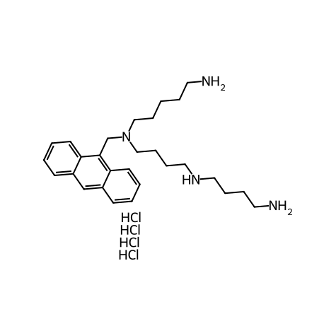 Cl.Cl.Cl.Cl.NCCCCCN(CCCCNCCCCN)Cc1c2ccccc2cc2ccccc12